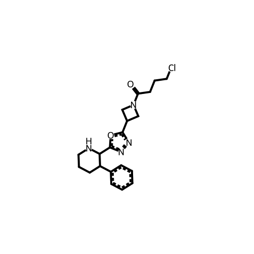 O=C(CCCCl)N1CC(c2nnc(C3NCCCC3c3ccccc3)o2)C1